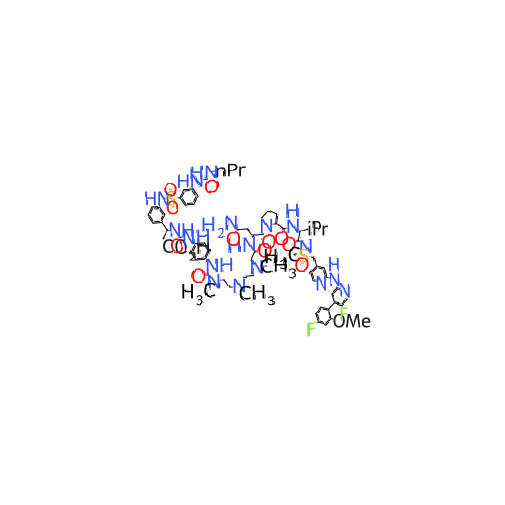 CCCNC(=O)Nc1cccc(S(=O)(=O)Nc2cccc([C@H](CC(=O)O)NC(=O)Nc3ccc(NC(=O)N(C)CCN(C)CCN(C)CC(=O)N[C@@H](CC(N)=O)C(=O)N4CCC[C@H]4C(=O)N[C@H](C(=O)N=[S@@](C)(=O)Cc4ccnc(Nc5cc(-c6ccc(F)cc6OC)c(F)cn5)c4)C(C)C)cc3)c2)c1